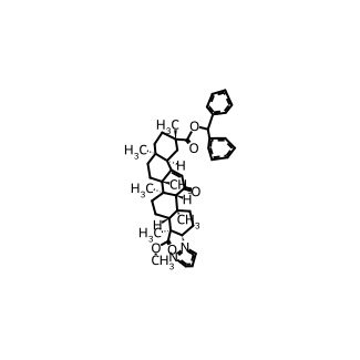 COC(=O)[C@]1(C)[C@@H](n2cccn2)CC[C@@]2(C)[C@H]1CC[C@]1(C)[C@@H]2C(=O)C=C2[C@@H]3C[C@@](C)(C(=O)OC(c4ccccc4)c4ccccc4)CC[C@]3(C)CC[C@]21C